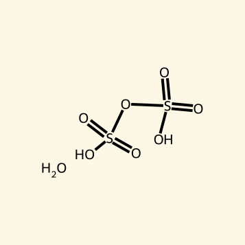 O.O=S(=O)(O)OS(=O)(=O)O